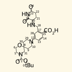 CC(C)(C)OC(=O)N1CCOC2(CCN(c3ccc(C(=O)O)c(CNC4CCC(=O)NC4=O)c3)CC2)C1